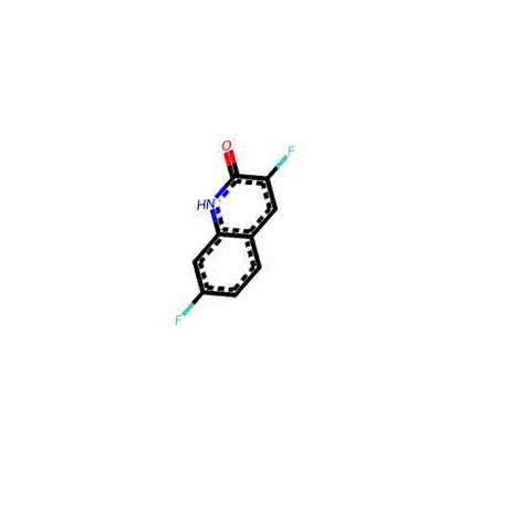 O=c1[nH]c2cc(F)ccc2cc1F